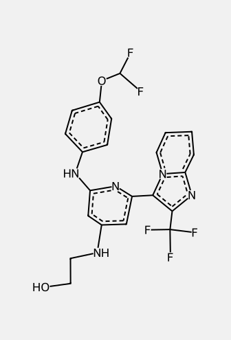 OCCNc1cc(Nc2ccc(OC(F)F)cc2)nc(-c2c(C(F)(F)F)nc3ccccn23)c1